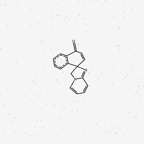 O=C1C=CC2(CN3C=CC=CC3=N2)c2ccccc21